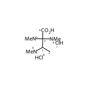 CNC(C)C(NC)(NC)C(=O)O.Cl.Cl